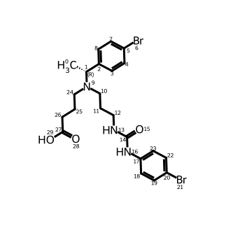 C[C@H](c1ccc(Br)cc1)N(CCCNC(=O)Nc1ccc(Br)cc1)CCCC(=O)O